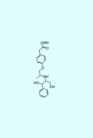 COC(=O)Cc1ccc(OCC(C)NC(CO)C(O)c2ccccc2)cc1